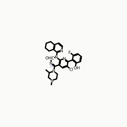 C/N=C(\c1cc(Cl)c(-c2c(O)cccc2F)nc1N(C=O)c1nccc2c1CCCC2)N1CCN(C)CC1C